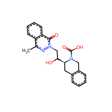 Cc1nn(CC(O)[C@@H]2Cc3ccccc3CN2C(=O)O)c(=O)c2ccccc12